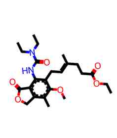 CCOC(=O)CC/C(C)=C/Cc1c(NC(=O)N(CC)CC)c2c(c(C)c1OC)COC2=O